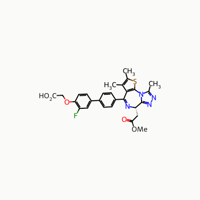 COC(=O)C[C@@H]1N=C(c2ccc(-c3ccc(OCC(=O)O)c(F)c3)cc2)c2c(sc(C)c2C)-n2c(C)nnc21